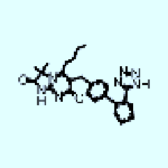 CCCCc1c(Cc2ccc(-c3ccccc3-c3nnn[nH]3)cc2)c(=O)nc2n1C(C)(C)C(=O)N2